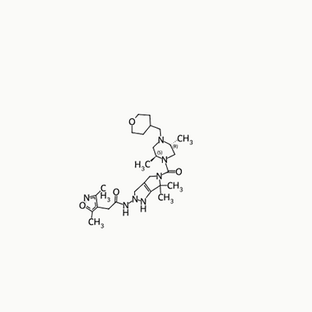 Cc1noc(C)c1CC(=O)NN1CC2=C(N1)C(C)(C)N(C(=O)N1C[C@@H](C)N(CC3CCOCC3)C[C@@H]1C)C2